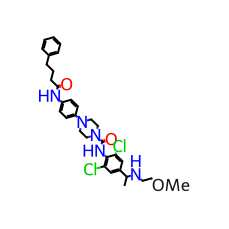 COCCNC(C)c1cc(Cl)c(NC(=O)N2CCN(c3ccc(NC(=O)CCCc4ccccc4)cc3)CC2)c(Cl)c1